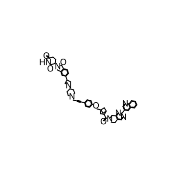 O=C1CCC(N2Cc3cc(C4CN(C5CCN(CC#Cc6ccc(OCC78CC(C7)C(C(=O)N7CCc9cnc(-c%10cnc%11ccccc%11c%10)nc9C7)C8)cc6)CC5)C4)ccc3C2=O)C(=O)N1